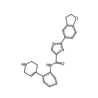 O=C(Nc1ccccc1C1=CCNCC1)c1csc(-c2ccc3c(c2)CCO3)n1